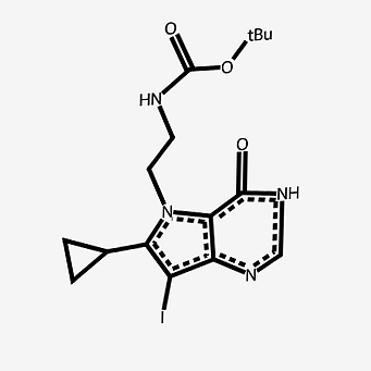 CC(C)(C)OC(=O)NCCn1c(C2CC2)c(I)c2nc[nH]c(=O)c21